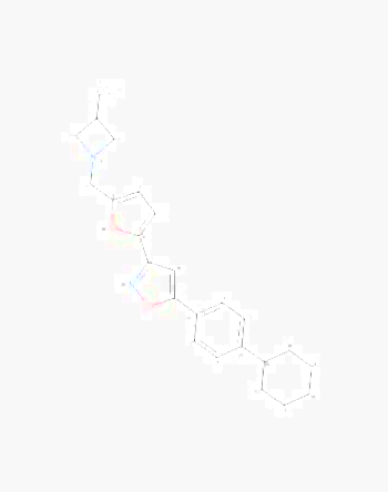 O=C(O)C1CN(Cc2ccc(-c3cc(-c4ccc(C5CCCCC5)cc4)on3)o2)C1